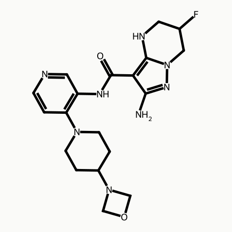 Nc1nn2c(c1C(=O)Nc1cnccc1N1CCC(N3COC3)CC1)NCC(F)C2